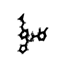 Cc1cccc(C(=O)N[C@@H](c2ccc(CCC3CC3)cc2)C2CCCC2)c1C